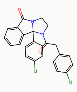 O=C(Cc1ccc(Cl)cc1)N1CCN2C(=O)c3ccccc3C12c1ccc(Cl)cc1